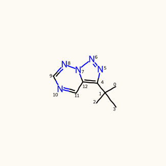 CC(C)(C)c1nnn2ncncc12